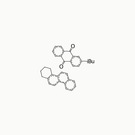 CCC(C)c1ccc2c(c1)C(=O)c1ccccc1C2=O.c1ccc2c(c1)ccc1c3c(ccc12)CCCC3